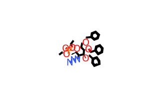 CCOP(=O)(C[C@H]1OC(COCc2ccccc2)[C@@H](OCc2ccccc2)[C@@H](OCc2ccccc2)C1N=[N+]=[N-])OCC